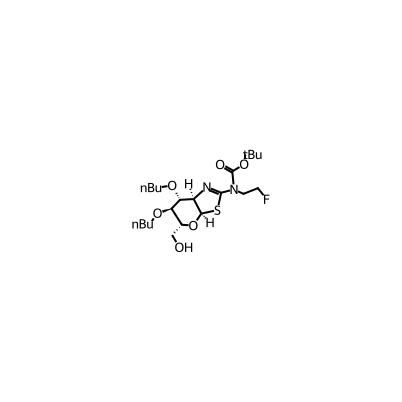 CCCCO[C@@H]1[C@H]2N=C(N(CCF)C(=O)OC(C)(C)C)S[C@H]2O[C@H](CO)[C@H]1OCCCC